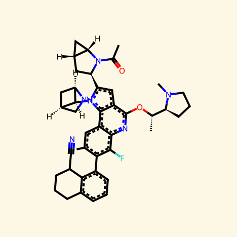 CC(=O)N1[C@@H](c2cc3c(O[C@@H](C)[C@@H]4CCCN4C)nc4c(F)c(-c5cccc6c5C(C#N)CCC6)c(C)cc4c3n2[C@H]2[C@H]3CN[C@@H]2C3)C[C@@H]2C[C@@H]21